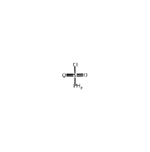 O=S(=O)(P)Cl